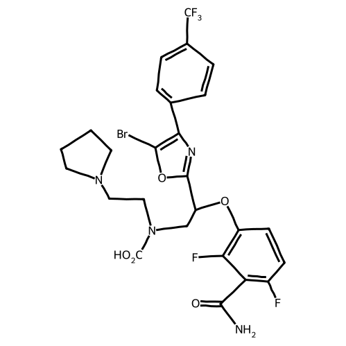 NC(=O)c1c(F)ccc(OC(CN(CCN2CCCC2)C(=O)O)c2nc(-c3ccc(C(F)(F)F)cc3)c(Br)o2)c1F